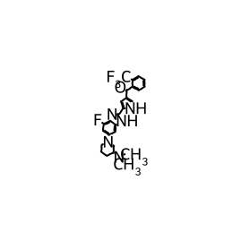 CN(C)[C@@H]1CCCN(c2cc(F)c3nc(-c4cc(C(=O)c5ccccc5C(F)(F)F)c[nH]4)[nH]c3c2)C1